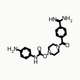 N=C(N)c1ccc(C(=O)N2CCN(OC(=O)Nc3ccc(N)cc3)CC2)cc1